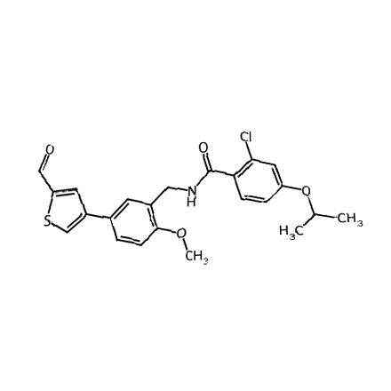 COc1ccc(-c2csc(C=O)c2)cc1CNC(=O)c1ccc(OC(C)C)cc1Cl